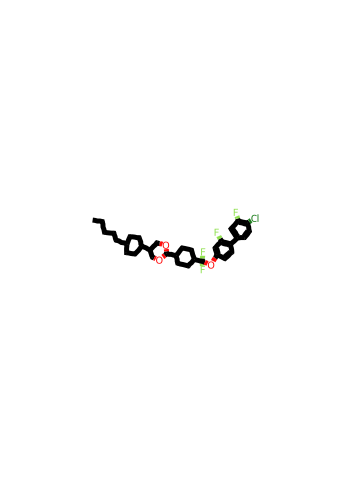 CCCCCC1CCC(C2COC(C3CCC(C(F)(F)Oc4ccc(-c5ccc(Cl)c(F)c5)c(F)c4)CC3)OC2)CC1